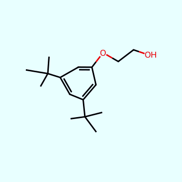 CC(C)(C)c1cc(OCCO)cc(C(C)(C)C)c1